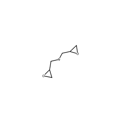 C([N]CC1CO1)C1CO1